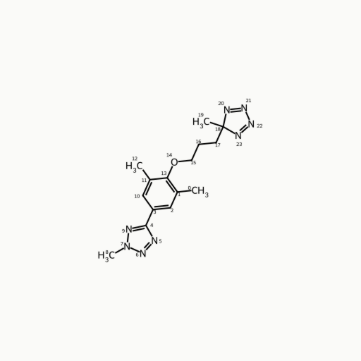 Cc1cc(-c2nnn(C)n2)cc(C)c1OCCCC1(C)N=NN=N1